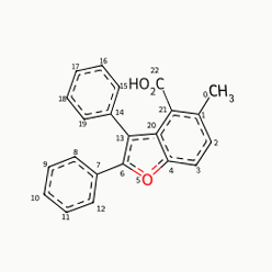 Cc1ccc2oc(-c3ccccc3)c(-c3ccccc3)c2c1C(=O)O